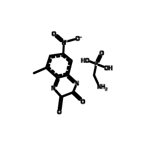 Cc1cc([N+](=O)[O-])cc2c1=NC(=O)C(=O)N=2.NCP(=O)(O)O